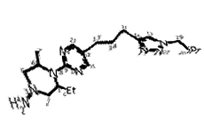 CCC1CN(N)CC(C)N1c1ncc(CCCc2cn(CC(C)C)nn2)cn1